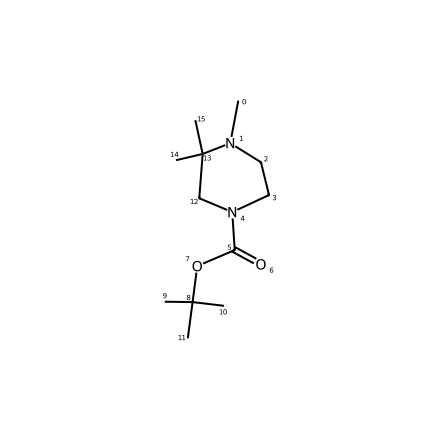 CN1CCN(C(=O)OC(C)(C)C)CC1(C)C